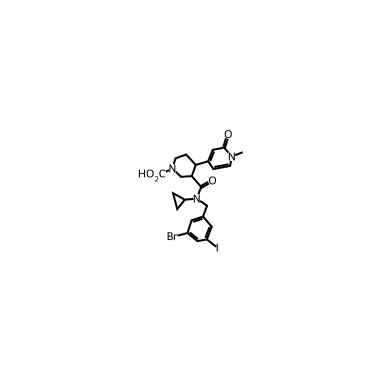 Cn1ccc(C2CCN(C(=O)O)CC2C(=O)N(Cc2cc(Br)cc(I)c2)C2CC2)cc1=O